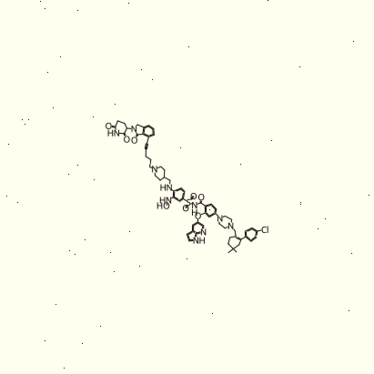 CC1(C)CCC(CN2CCN(c3ccc(C(=O)NS(=O)(=O)c4ccc(NCC5CCN(CCCC#Cc6cccc7c6C(=O)N(C6CCC(=O)NC6=O)C7)CC5)c(NO)c4)c(Oc4cnc5[nH]ccc5c4)c3)CC2)=C(c2ccc(Cl)cc2)C1